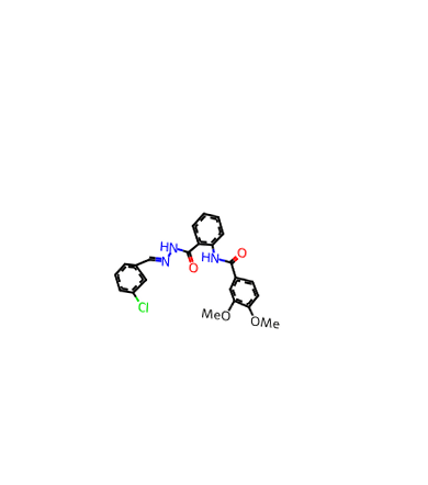 COc1ccc(C(=O)Nc2ccccc2C(=O)NN=Cc2cccc(Cl)c2)cc1OC